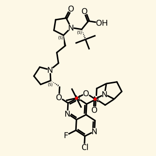 CC(C)(C)OC(=O)N1C2CCC1CN(c1nc(OC[C@@H]3CCCN3CCC[C@H]3CCC(=O)N3[C@H](C(=O)O)C(C)(C)C)nc3c(F)c(Cl)ncc13)C2